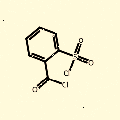 O=C(Cl)c1ccccc1S(=O)(=O)Cl